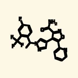 CC(c1ccc(F)cc1C(F)(F)F)n1cc(-c2c(C(N)=O)noc2-c2ccccn2)cn1